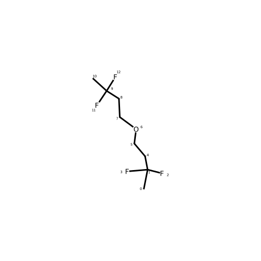 CC(F)(F)CCOCCC(C)(F)F